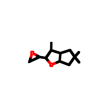 CC1C2CC(C)(C)CC2OC1C1CO1